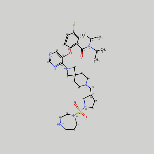 CC(C)N(C(=O)c1cc(F)ccc1Oc1cncnc1N1CC2(CCN(C[C@H]3CCN(S(=O)(=O)N4CCCNCC4)C3)CC2)C1)C(C)C